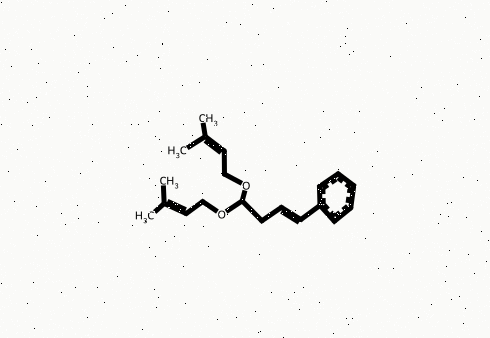 CC(C)=CCOC(CC=Cc1ccccc1)OCC=C(C)C